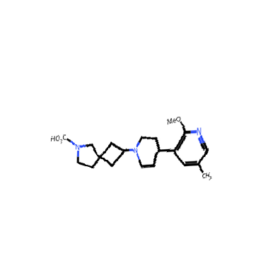 COc1ncc(C)cc1C1CCN(C2CC3(CCN(C(=O)O)C3)C2)CC1